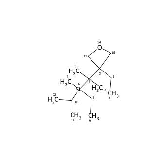 CCC1(C(C)(C)[Si](C)(CC)C(C)C)COC1